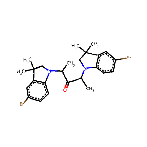 CC(C(=O)C(C)N1CC(C)(C)c2cc(Br)ccc21)N1CC(C)(C)c2cc(Br)ccc21